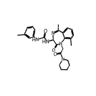 CC1=NC(NC(=O)Nc2cccc(C)c2)C(=O)N(CC(=O)N2CCCCC2)c2c(C)cccc21